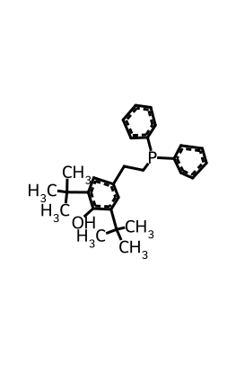 CC(C)(C)c1cc(CCP(c2ccccc2)c2ccccc2)cc(C(C)(C)C)c1O